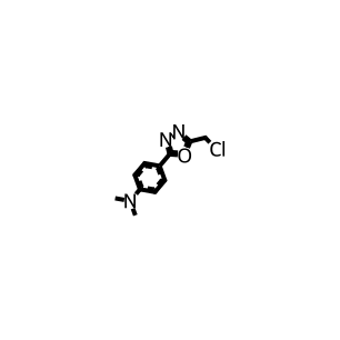 CN(C)c1ccc(-c2nnc(CCl)o2)cc1